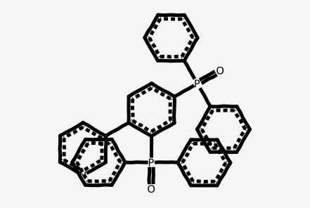 O=P(c1ccccc1)(c1ccccc1)c1ccc(-c2cccnc2)c(P(=O)(c2ccccc2)c2ccccc2)c1